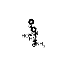 CC(C)(NCc1nc2ccc(Oc3ccccc3)cc2n1CCO)C(N)=O